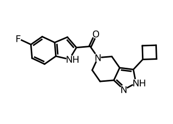 O=C(c1cc2cc(F)ccc2[nH]1)N1CCc2n[nH]c(C3CCC3)c2C1